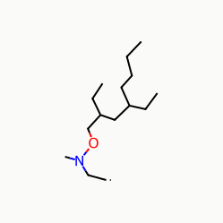 [CH2]CN(C)OCC(CC)CC(CC)CCCC